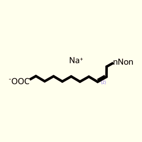 CCCCCCCCCC/C=C\CCCCCCCC(=O)[O-].[Na+]